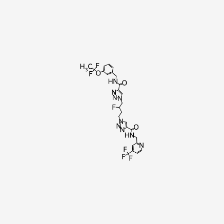 CC(F)(F)Oc1cccc(CNC(=O)c2cn(CC(F)CCn3cc(C(=O)NCc4cc(C(F)(F)F)ccn4)nn3)nn2)c1